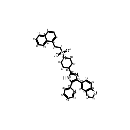 O=S(=O)(CCc1cccc2ccccc12)N1CCC(c2nc(-c3ccc4c(c3)OCO4)c(-c3ccccn3)[nH]2)CC1